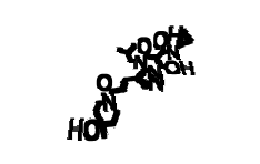 CC(C)Cn1c(=O)c(C(=O)NC2CC2)c(O)n2ncc(/C=C/C(=O)N3CCC(C)(O)CC3)c12